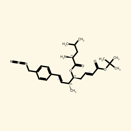 CC(C)C[C@H](N)C(=O)O[C@@H](C/C=C/C(=O)OC(C)(C)C)[C@H](C)/C=C/c1ccc(CN=[N+]=[N-])cc1